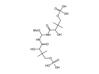 COC(NC(=O)C(O)C(C)(C)COP(=O)(O)O)NC(=O)C(O)C(C)(C)COP(=O)(O)O